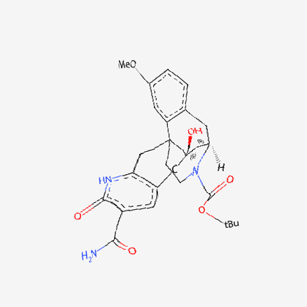 COc1ccc2c(c1)C13CCN(C(=O)OC(C)(C)C)[C@H](C2)[C@]1(O)Cc1cc(C(N)=O)c(=O)[nH]c1C3